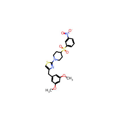 COc1cc(Cc2csc(N3CCC(S(=O)(=O)c4cccc([N+](=O)[O-])c4)CC3)n2)cc(OC)c1